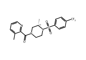 Cc1cccnc1C(=O)N1CCN(S(=O)(=O)c2ccc(C(F)(F)F)cc2)[C@@H](C)C1